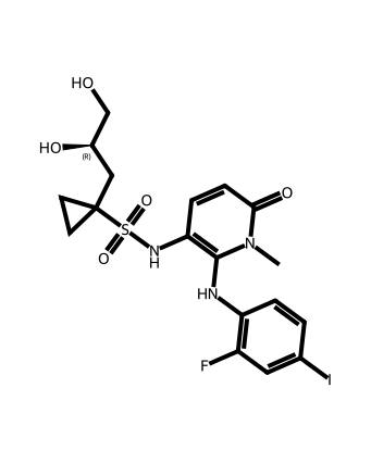 Cn1c(Nc2ccc(I)cc2F)c(NS(=O)(=O)C2(C[C@@H](O)CO)CC2)ccc1=O